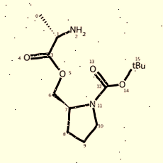 C[C@H](N)C(=O)OC[C@@H]1CCCN1C(=O)OC(C)(C)C